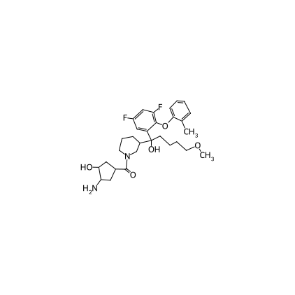 COCCCCC(O)(c1cc(F)cc(F)c1Oc1ccccc1C)C1CCCN(C(=O)C2CC(N)C(O)C2)C1